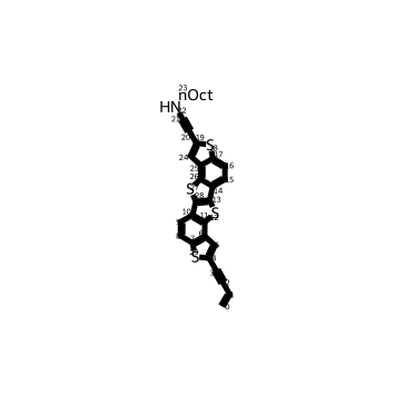 C=CC#Cc1cc2c(ccc3c2sc2c4ccc5sc(C#CNCCCCCCCC)cc5c4sc32)s1